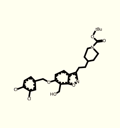 CC(C)(C)OC(=O)N1CCC(CCc2noc3c(CO)c(OCc4ccc(Cl)c(Cl)c4)ccc23)CC1